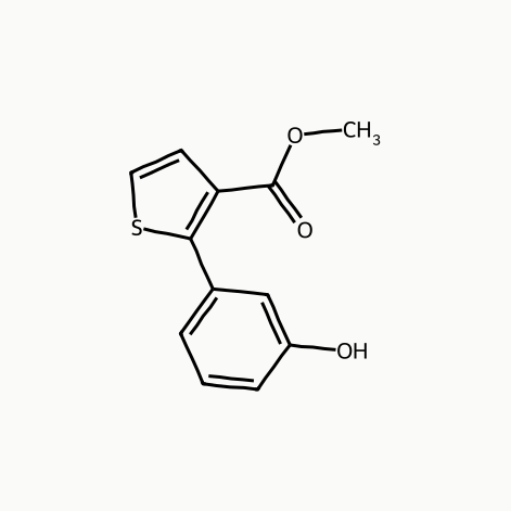 COC(=O)c1ccsc1-c1cccc(O)c1